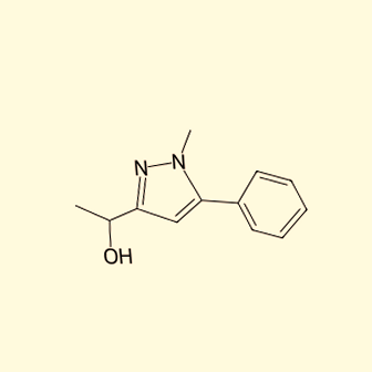 CC(O)c1cc(-c2ccccc2)n(C)n1